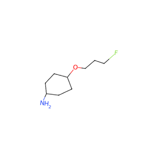 NC1CCC(OCCCF)CC1